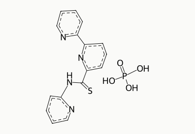 O=P(O)(O)O.S=C(Nc1ccccn1)c1cccc(-c2ccccn2)n1